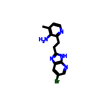 Cc1ccnc(CCc2nc3cc(Br)cnc3[nH]2)c1N